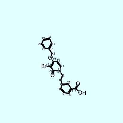 O=C(O)c1cccc(CCn2ccc(OCc3ccccc3)c(Br)c2=O)c1